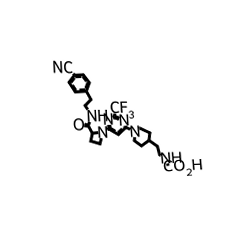 N#Cc1ccc(CCNC(=O)C2CCN2c2cc(N3CCC(CCNC(=O)O)CC3)nc(C(F)(F)F)n2)cc1